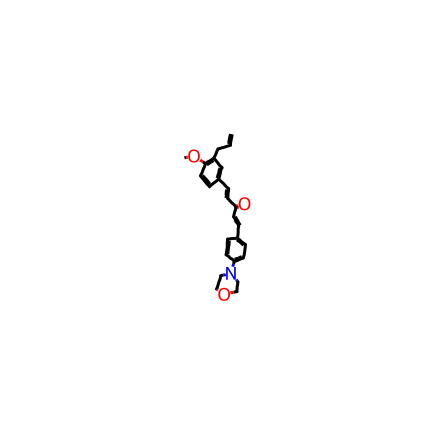 C=CCc1cc(/C=C/C(=O)/C=C/c2ccc(N3CCOCC3)cc2)ccc1OC